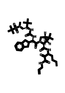 C=CCNC(=O)C(=O)C(CCCC)NC(=O)[C@@H]1[C@@H]2[C@H](CN1C(=O)[C@@H](NC(=O)N[C@H](CN(C)S(=O)(=O)C(C)(C)C)C(C)(C)C)C1Cc3ccccc3C1)C2(C)C